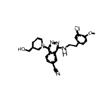 COc1ccc(CCNc2nnc(N3CCCC(CO)C3)c3ccc(C#N)cc23)cc1Cl